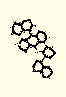 c1ccc(-c2cccc3ccccc23)c(Sc2c3ccccc3c(-c3cccc4ccccc34)c3cnccc23)c1